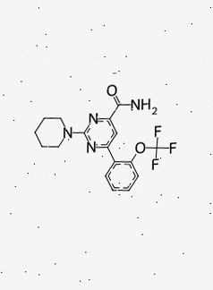 NC(=O)c1cc(-c2ccccc2OC(F)(F)F)nc(N2CCCCC2)n1